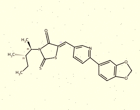 CC[C@H](C)[C@@H](C)N1C(=O)/C(=C/c2ccc(-c3ccc4c(c3)OCO4)nc2)SC1=S